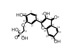 O=c1c(O)c(-c2ccc(O)c(OCP(=O)(O)O)c2)oc2cc(O)ccc12